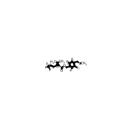 COCc1c(F)c(F)c(COC(=O)[C@H]2C(C=CC(F)(F)F)C2(C)C)c(F)c1F